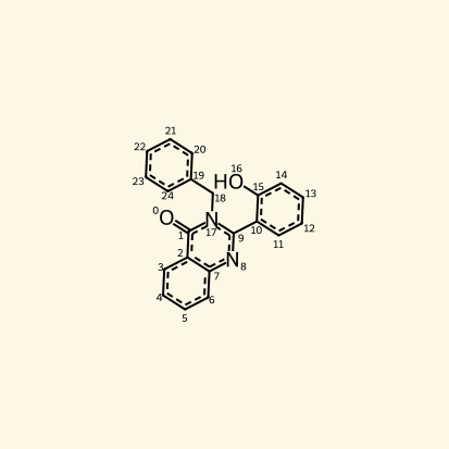 O=c1c2ccccc2nc(-c2ccccc2O)n1Cc1ccccc1